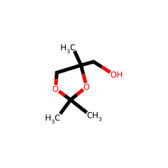 CC1(CO)COC(C)(C)O1